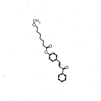 COCCCCCCC(=O)Oc1ccc(/C=C/C(=O)c2ccccc2)cc1